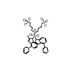 CC1=Cc2c(-c3ccccc3)cccc2[CH]1[Zr]([Cl])([Cl])([CH]1C(C)=Cc2c(-c3ccccc3)cccc21)[SiH](CCCC[Si](Cl)(Cl)Cl)CCCC[Si](Cl)(Cl)Cl